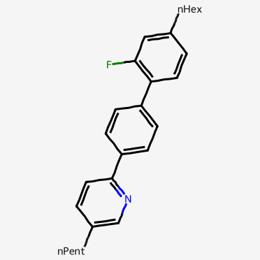 CCCCCCc1ccc(-c2ccc(-c3ccc(CCCCC)cn3)cc2)c(F)c1